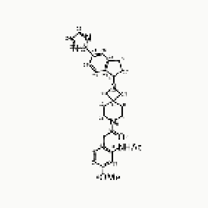 COc1ccc(CC(=O)N2CCC3(CC2)CN(C2CCc4cc(-n5nccn5)ccc42)C3)c(NC(C)=O)c1